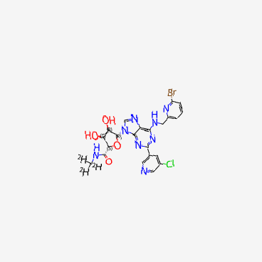 [2H]C([2H])([2H])NC(=O)[C@H]1O[C@@H](n2cnc3c(NCc4cccc(Br)n4)nc(-c4cncc(Cl)c4)nc32)[C@H](O)[C@@H]1O